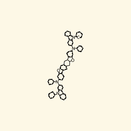 c1ccc(N(c2ccc3c(c2)OC2Cc4cc5c(cc4CC32)oc2cc(N(c3ccccc3)c3ccc4c6ccccc6n(-c6ccccc6)c4c3)ccc25)c2ccc3c4ccccc4n(-c4ccccc4)c3c2)cc1